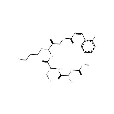 CC(C)C[C@H](NC(=O)[C@@H](NC(=O)OC(C)(C)C)C(C)C)C(=O)N[C@@H](CCCCN)C(=O)CNC(=O)/C=C\c1ccccc1O